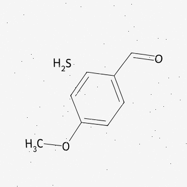 COc1ccc(C=O)cc1.S